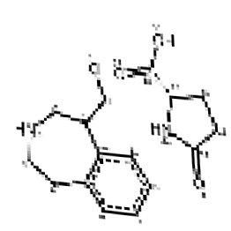 ClCC1CNCCc2ccccc21.O=C1CC[C@@H](C(=O)O)N1